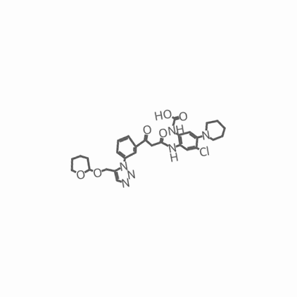 O=C(O)Nc1cc(N2CCCCC2)c(Cl)cc1NC(=O)CC(=O)c1cccc(-n2nncc2COC2CCCCO2)c1